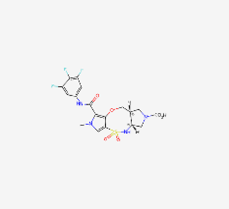 Cn1cc2c(c1C(=O)Nc1cc(F)c(F)c(F)c1)OC[C@@H]1CN(C(=O)O)C[C@@H]1NS2(=O)=O